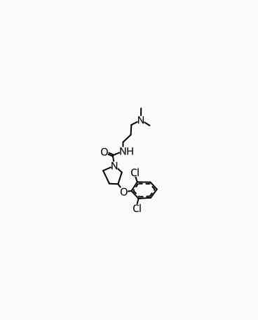 CN(C)CCCNC(=O)N1CCC(Oc2c(Cl)cccc2Cl)C1